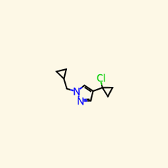 ClC1(c2cnn(CC3CC3)c2)CC1